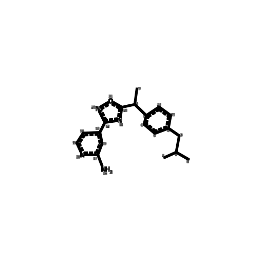 CC(C)Cc1ccc(C(C)c2nc(-c3ccnc(N)c3)no2)cc1